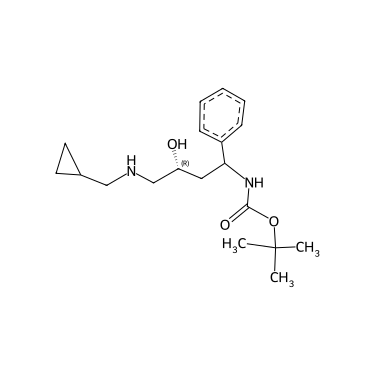 CC(C)(C)OC(=O)NC(C[C@@H](O)CNCC1CC1)c1ccccc1